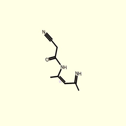 CC(=N)/C=C(/C)NC(=O)CC#N